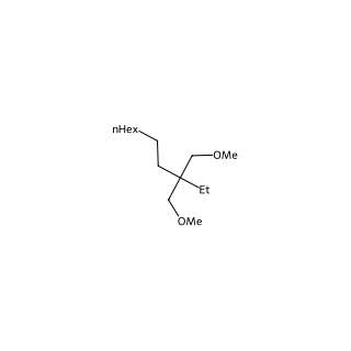 CCCCCCCCC(CC)(COC)COC